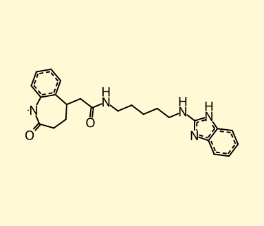 O=C1CCC(CC(=O)NCCCCCNc2nc3ccccc3[nH]2)c2ccccc2[N]1